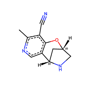 Cc1ncc2c(c1C#N)O[C@@H]1CN[C@H]2C1